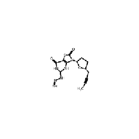 CC#CC[C@@H]1CC[C@H](n2c3c(sc2=O)C(=O)NC(NN=N)N3)O1